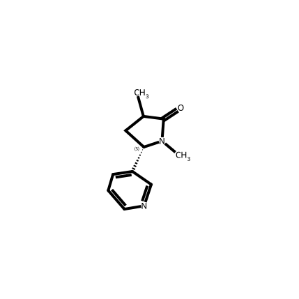 CC1C[C@@H](c2cccnc2)N(C)C1=O